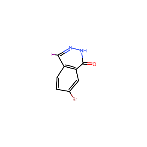 O=c1[nH]nc(I)c2ccc(Br)cc12